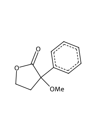 COC1(c2ccccc2)CCOC1=O